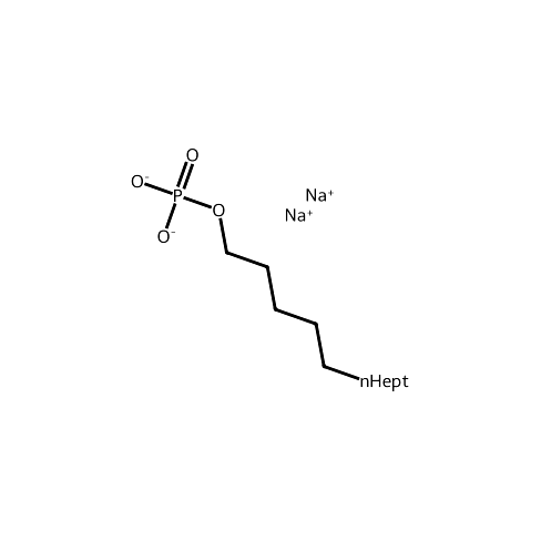 CCCCCCCCCCCCOP(=O)([O-])[O-].[Na+].[Na+]